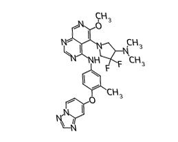 COc1ncc2ncnc(Nc3ccc(Oc4ccn5ncnc5c4)c(C)c3)c2c1N1CC(N(C)C)C(F)(F)C1